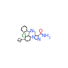 NC(=O)c1ncn2c1CN=C(c1ccccc1Cl)c1cc(C34CC(C3)C4)ccc1-2